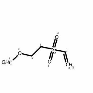 C=CS(=O)(=O)CCOC=O